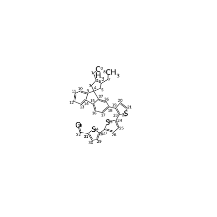 CCCCC1(CCCC)c2ccccc2-c2ccc(-c3ccsc3-c3ccc(-c4ccc(C=O)s4)s3)cc21